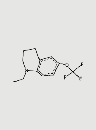 CCN1CCCc2cc(OC(F)(F)F)ccc21